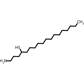 CCCCCCCCCCCCCCC(S)CCCN